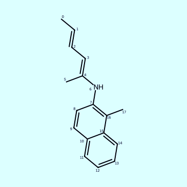 C/C=C/C=C(\C)Nc1ccc2ccccc2c1C